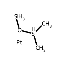 C[SiH](C)O[SiH3].[Pt]